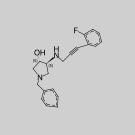 O[C@H]1CN(Cc2ccccc2)C[C@@H]1NCC#Cc1ccccc1F